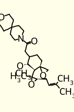 CO[C@@H]1C(CC(=O)N2CCC3(CCOCC3)CC2)CC[C@]2(CO2)[C@H]1[C@@]1(C)O[C@@H]1CC=C(C)C